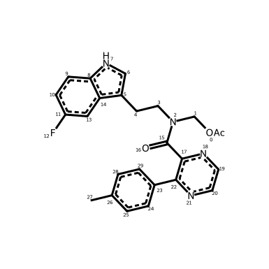 CC(=O)OCN(CCc1c[nH]c2ccc(F)cc12)C(=O)c1nccnc1-c1ccc(C)cc1